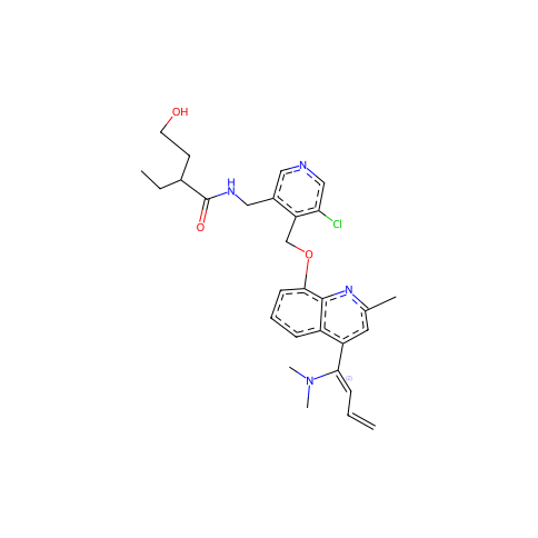 C=C/C=C(/c1cc(C)nc2c(OCc3c(Cl)cncc3CNC(=O)C(CC)CCO)cccc12)N(C)C